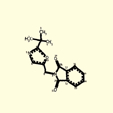 CC(C)(C)c1ncc(CN2C(=O)c3ccccc3C2=O)o1